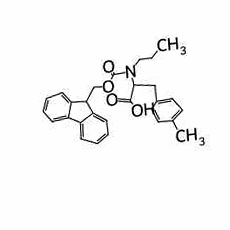 CCCN(C(=O)OCC1c2ccccc2-c2ccccc21)C(Cc1ccc(C)cc1)C(=O)O